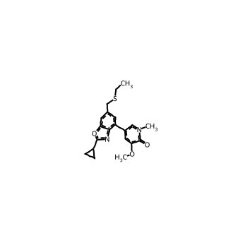 CCSCc1cc(-c2cc(OC)c(=O)n(C)c2)c2nc(C3CC3)oc2c1